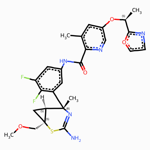 COC[C@]12C[C@H]1[C@](C)(c1cc(NC(=O)c3ncc(O[C@@H](C)c4ncco4)cc3C)cc(F)c1F)N=C(N)S2